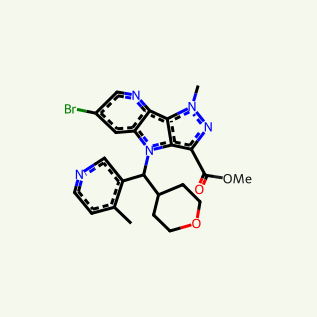 COC(=O)c1nn(C)c2c3ncc(Br)cc3n(C(c3cnccc3C)C3CCOCC3)c12